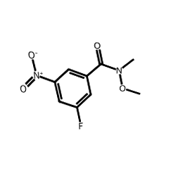 CON(C)C(=O)c1cc(F)cc([N+](=O)[O-])c1